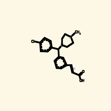 CN1CCN(C(c2ccc(Cl)cc2)c2cccc(/C=C/C(=O)O)c2)CC1